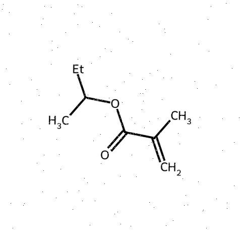 C=C(C)C(=O)OC(C)CC